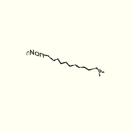 CCCCCCCCCCCCCCCCCCCCP(C)C